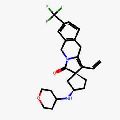 C=CC1=C2Cc3ccc(C(F)(F)F)cc3CN2C(=O)[C@]12CC[C@@H](NC1CCOCC1)C2